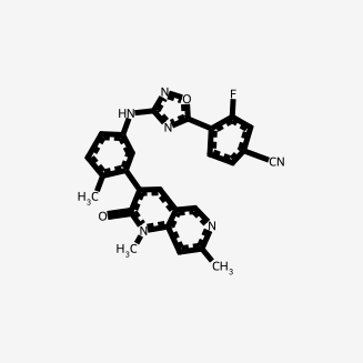 Cc1cc2c(cn1)cc(-c1cc(Nc3noc(-c4ccc(C#N)cc4F)n3)ccc1C)c(=O)n2C